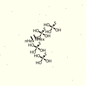 CCCCCCC.CCCCCCC.OP(O)(O)=S.OP(O)(O)=S.OP(O)(O)=S.OP(O)(O)=S